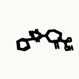 O=C(O)N1CCCC(c2nc(-c3ccccc3)ns2)CN1